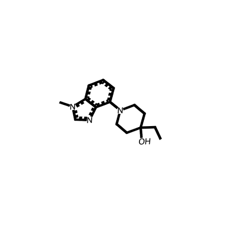 CCC1(O)CCN(c2cccc3c2ncn3C)CC1